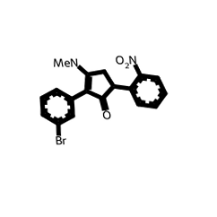 CNC1=C(c2cccc(Br)c2)C(=O)C(c2ccccc2[N+](=O)[O-])C1